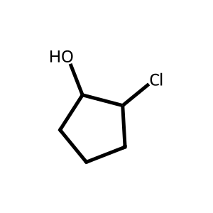 OC1CCCC1Cl